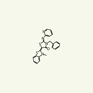 CN1C(=C2SC(=Nc3ccccn3)N(Cc3ccccc3)C2=O)Sc2ccccc21